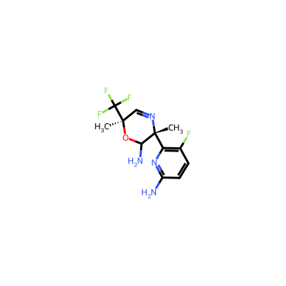 C[C@]1(C(F)(F)F)C=N[C@](C)(c2nc(N)ccc2F)C(N)O1